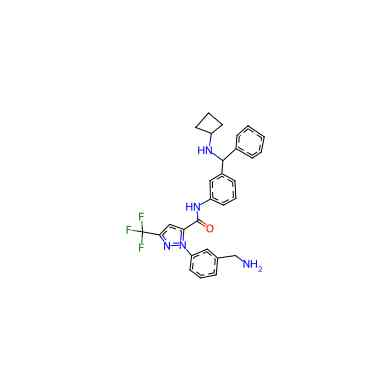 NCc1cccc(-n2nc(C(F)(F)F)cc2C(=O)Nc2cccc(C(NC3CCC3)c3ccccc3)c2)c1